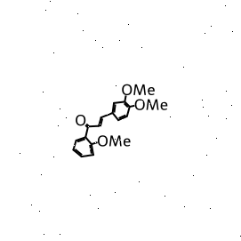 COc1ccc(/C=C/C(=O)c2ccccc2OC)cc1OC